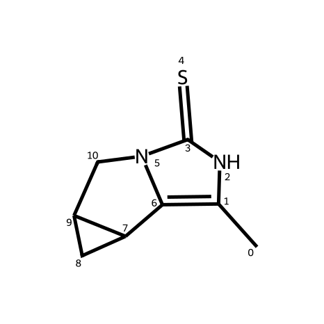 Cc1[nH]c(=S)n2c1C1CC1C2